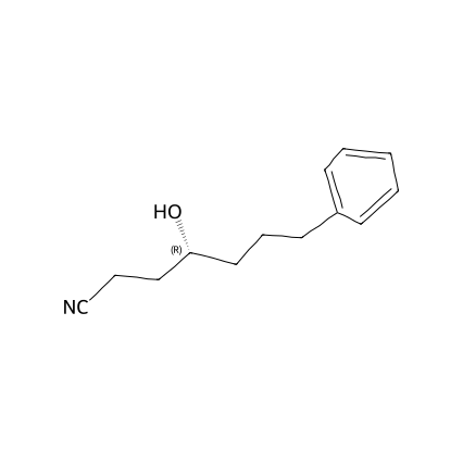 N#CCC[C@H](O)CCCc1ccccc1